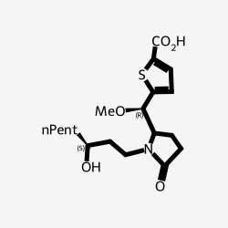 CCCCC[C@H](O)CCN1C(=O)CCC1[C@@H](OC)c1ccc(C(=O)O)s1